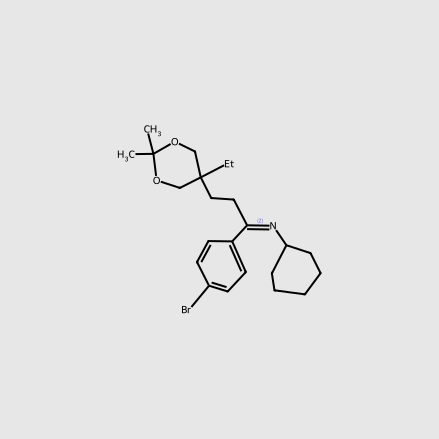 CCC1(CC/C(=N/C2CCCCC2)c2ccc(Br)cc2)COC(C)(C)OC1